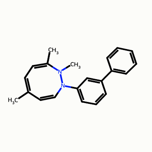 Cc1ccc(C)n(C)n(-c2cccc(-c3ccccc3)c2)cc1